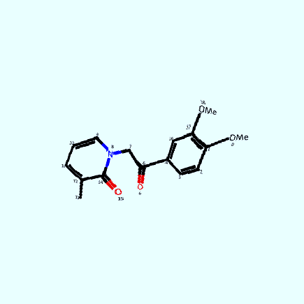 COc1ccc(C(=O)Cn2cccc(C)c2=O)cc1OC